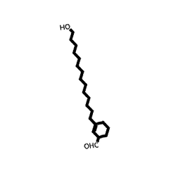 O=CC1C=C(CCCCCCCCCCCCCCO)CCC1